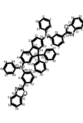 c1ccc(N(c2cccc(-c3nc4ccccc4o3)c2)c2ccc3c(c2)C(c2ccccc2)(c2ccccc2)c2cc(N(c4ccccc4)c4cccc(-c5nc6ccccc6o5)c4)ccc2-3)cc1